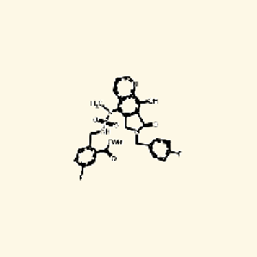 COC(=O)c1cc(F)ccc1CNS(=O)(=O)N(C)c1c2c(c(O)c3ncccc13)C(=O)N(Cc1ccc(F)cc1)C2